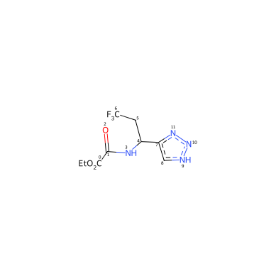 CCOC(=O)C(=O)NC(CC(F)(F)F)c1c[nH]nn1